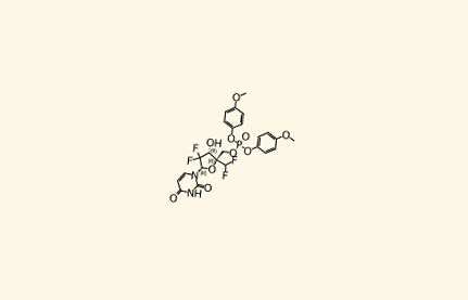 COc1ccc(OP(=O)(OC[C@@]2(C(F)F)O[C@@H](n3ccc(=O)[nH]c3=O)C(F)(F)[C@@H]2O)Oc2ccc(OC)cc2)cc1